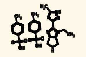 CCn1c(-c2cc(C)[nH]n2)nc2c1CNC2.Cc1ccc(S(=O)(=O)O)cc1.Cc1ccc(S(=O)(=O)O)cc1